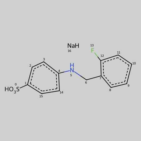 O=S(=O)(O)c1ccc(NCc2ccccc2F)cc1.[NaH]